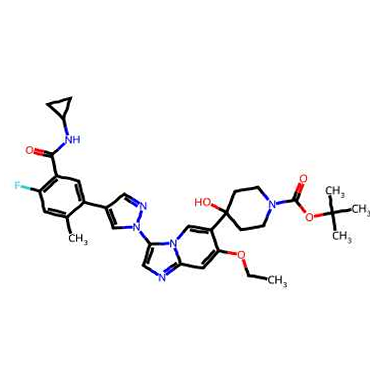 CCOc1cc2ncc(-n3cc(-c4cc(C(=O)NC5CC5)c(F)cc4C)cn3)n2cc1C1(O)CCN(C(=O)OC(C)(C)C)CC1